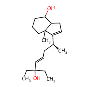 CCC(O)(C=CC[C@H](C)C1=CCC2C(O)CCCC12C)CC